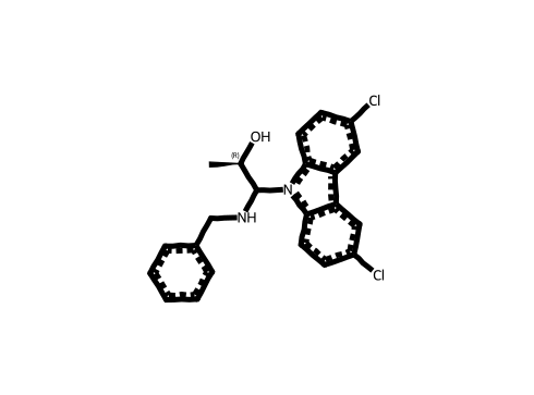 C[C@@H](O)C(NCc1ccccc1)n1c2ccc(Cl)cc2c2cc(Cl)ccc21